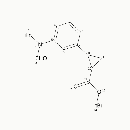 CC(C)N(C=O)c1cccc(C2CC2C(=O)OC(C)(C)C)c1